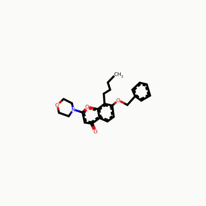 CCCCc1c(OCc2ccccc2)ccc2c(=O)cc(N3CCOCC3)oc12